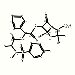 Cc1ccc(S(=O)(=O)N(C)C(C)C(=O)NC(C(=O)NC2C(=O)N3[C@@H]2SC(C)(C)[C@@H]3C(=O)O)c2ccccc2)cc1